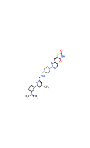 CN(C)c1cccc(-c2cc(C(F)(F)F)cc(CNCC3CCN(c4nccc(C=C5SC(=O)NC5=O)n4)CC3)n2)c1